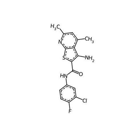 Cc1cc(C)c2c(N)c(C(=O)Nc3ccc(F)c(Cl)c3)sc2n1